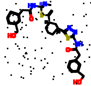 C=C(S/C(=N\C)NC(=O)Cc1cccc(CO)c1)[C@H]1CCC[C@H](c2nnc(NC(=O)Cc3cccc(CO)c3)s2)C1